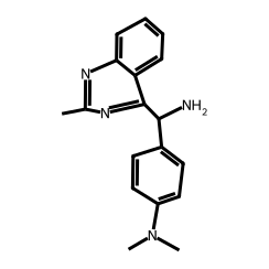 Cc1nc(C(N)c2ccc(N(C)C)cc2)c2ccccc2n1